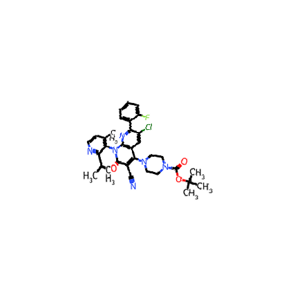 Cc1ccnc(C(C)C)c1-n1c(=O)c(C#N)c(N2CCN(C(=O)OC(C)(C)C)CC2)c2cc(Cl)c(-c3ccccc3F)nc21